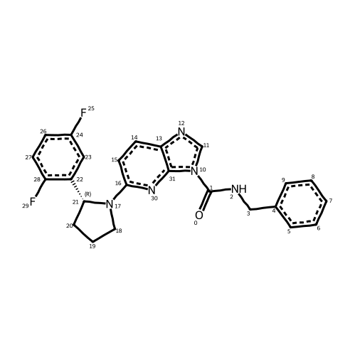 O=C(NCc1ccccc1)n1cnc2ccc(N3CCC[C@@H]3c3cc(F)ccc3F)nc21